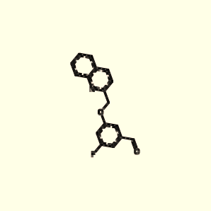 O=Cc1cc(F)cc(OCc2ccc3ccccc3n2)c1